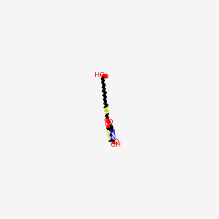 O=C(O)CCCCCCCCCCCCCCCSSCCCOC(=O)Oc1ccc2nc(C3=NC(C(=O)O)CS3)sc2c1